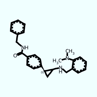 CN(C)c1ccccc1CNC1C[C@H]1c1ccc(C(=O)NCc2ccccc2)cc1